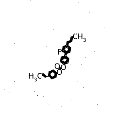 CCCCc1ccc(-c2ccc(OC(=O)O[C@H]3CC[C@H](CCC)CC3)cc2)c(F)c1